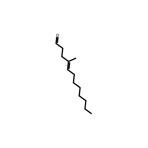 CCCCCCC/C=C(\C)CCC=O